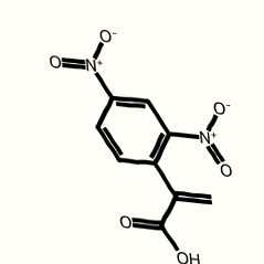 C=C(C(=O)O)c1ccc([N+](=O)[O-])cc1[N+](=O)[O-]